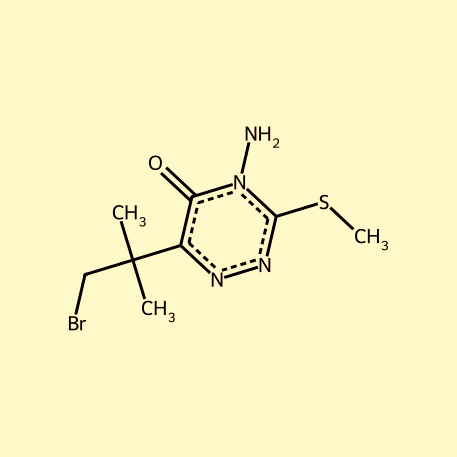 CSc1nnc(C(C)(C)CBr)c(=O)n1N